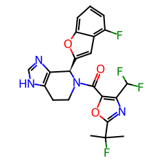 CC(C)(F)c1nc(C(F)F)c(C(=O)N2CCc3[nH]cnc3[C@H]2c2cc3c(F)cccc3o2)o1